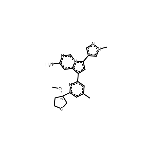 CO[C@@]1(c2cc(C)cc(-c3cc(-c4cnn(C)c4)n4cnc(N)cc34)n2)CCOC1